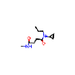 CCCN(C(=O)CCC(=O)NC)C1CC1